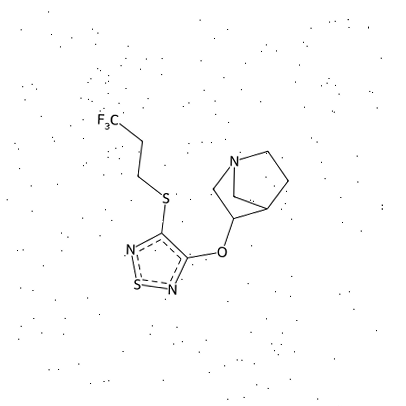 FC(F)(F)CCSc1nsnc1OC1CN2CCC1C2